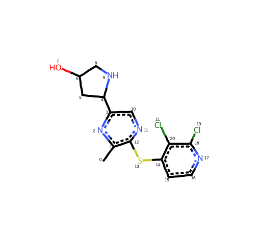 Cc1nc(C2CC(O)CN2)cnc1Sc1ccnc(Cl)c1Cl